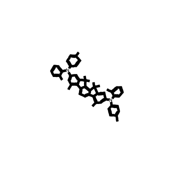 Cc1ccc(N(c2cc(C)c3c(c2)C(C)(C)c2c-3ccc3c2C(C)(C)c2cc(N(c4ccc(C)cc4)c4ccccc4C)cc(C)c2-3)c2ccccc2C)cc1